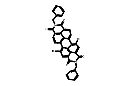 O=C1c2ccc3c4c(Br)cc5c6c(cc(Br)c(c7ccc(c2c37)C(=O)N1Cc1ccccc1)c64)C(=O)N(Cc1ccccc1)C5=O